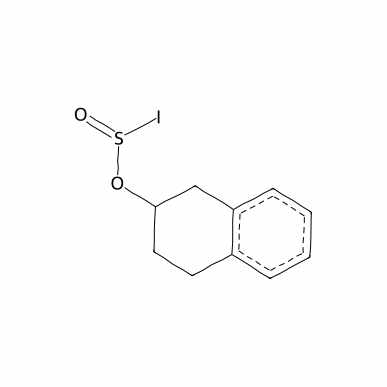 O=S(I)OC1CCc2ccccc2C1